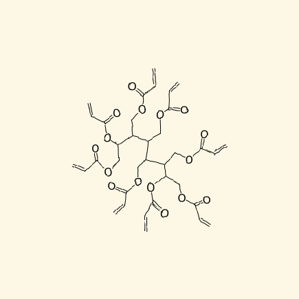 C=CC(=O)OCC(OC(=O)C=C)C(COC(=O)C=C)C(COC(=O)C=C)C(COC(=O)C=C)C(COC(=O)C=C)C(COC(=O)C=C)OC(=O)C=C